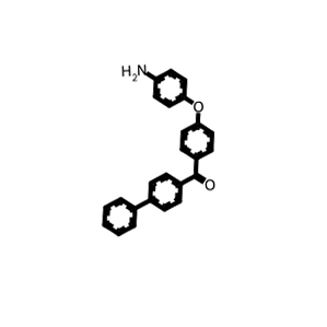 Nc1ccc(Oc2ccc(C(=O)c3ccc(-c4ccccc4)cc3)cc2)cc1